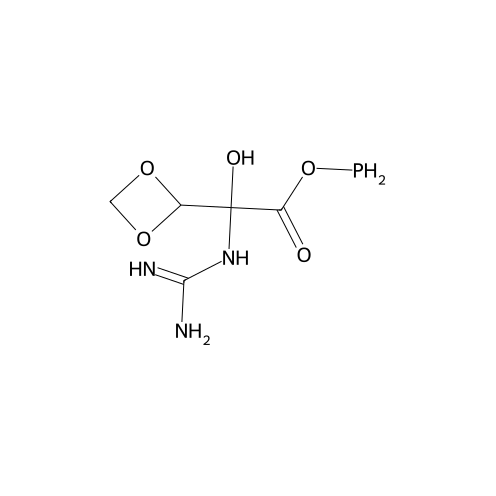 N=C(N)NC(O)(C(=O)OP)C1OCO1